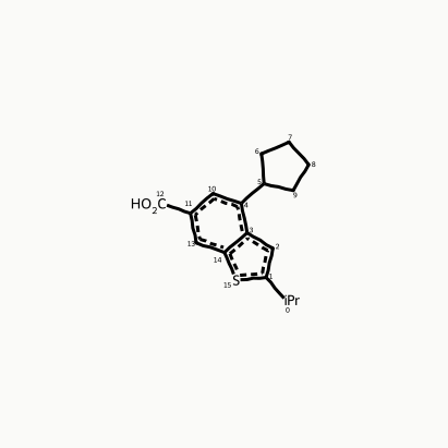 CC(C)c1cc2c(C3CCCC3)cc(C(=O)O)cc2s1